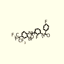 CN(C(=O)c1ccc(F)cc1)c1cccc(C(=O)Nc2ccc(C(F)(C(F)(F)F)C(F)(F)F)cc2Br)c1F